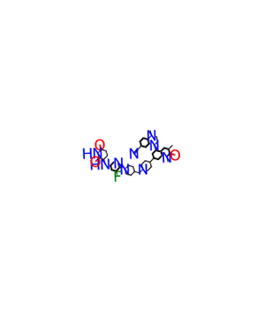 Cc1cc2c(N3CCN(C)c4ccc(C#N)cc43)cc(C3CCN(CC4CCN(c5ncc(NC6CCC(=O)NC6=O)cc5F)CC4)CC3)cc2n(C)c1=O